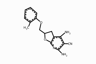 Cc1ccccc1OCC1Cc2c(nc(N)c(C#N)c2N)O1